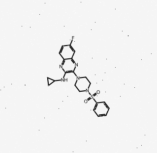 O=S(=O)(c1ccccc1)N1CCN(c2nc3cc(F)ccc3nc2NC2CC2)CC1